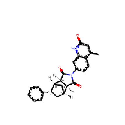 Cc1cc(=O)[nH]c2cc(N3C(=O)[C@@H]4[C@H]5C[C@H](C[C@@H]5c5ccccc5)[C@@H]4C3=O)ccc12